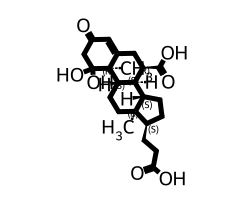 C[C@]12CC[C@H]3[C@@H]([C@H](C(=O)O)CC4=CC(=O)CC(O)(O)[C@@]43C)[C@@H]1CC[C@H]2CCC(=O)O